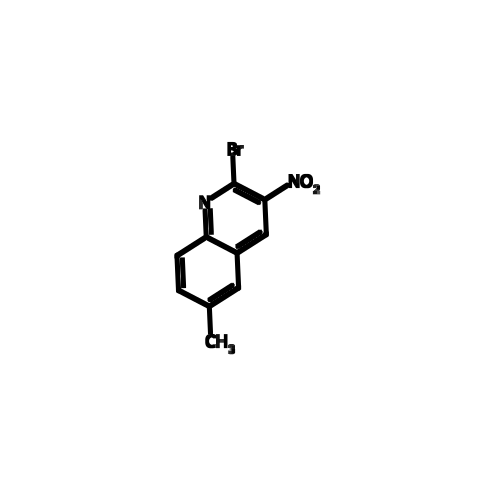 Cc1ccc2nc(Br)c([N+](=O)[O-])cc2c1